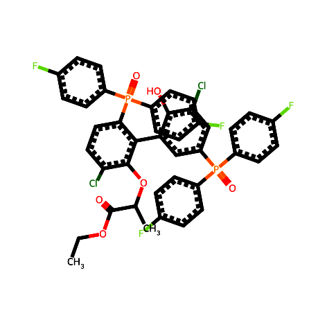 CCOC(=O)C(C)Oc1c(Cl)ccc(P(=O)(c2ccc(F)cc2)c2ccc(F)cc2)c1-c1cc(P(=O)(c2ccc(F)cc2)c2ccc(F)cc2)cc(Cl)c1O